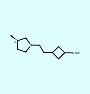 CNC1CC(CCN2CC[C@@H](C)C2)C1